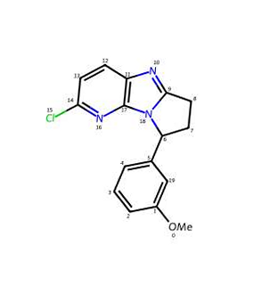 COc1cccc(C2CCc3nc4ccc(Cl)nc4n32)c1